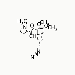 CCN1CCCC1N(C)C(=O)c1cc(CCCCN=[N+]=[N-])cc(OC)c1OC